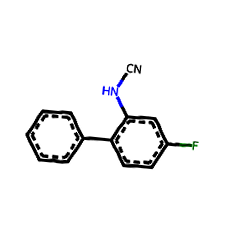 N#CNc1cc(F)ccc1-c1ccccc1